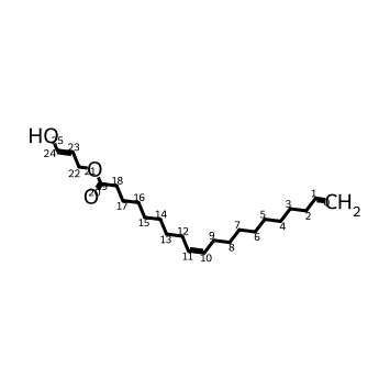 C=CCCCCCCCC/C=C\CCCCCCCC(=O)OCC=CO